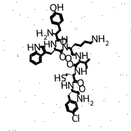 CC(C)[C@H](NC(=O)[C@H](CCCCN)NC(=O)[C@@H](Cc1c[nH]c2ccccc12)NC(=O)[C@@H](N)Cc1ccc(O)cc1)C(=O)N[C@@H](CS)C(=O)N[C@@H](Cc1ccc(Cl)cc1)C(N)=O